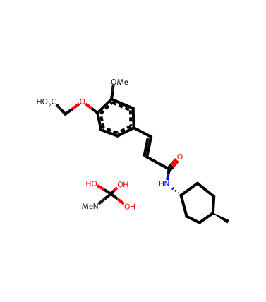 CNC(O)(O)O.COc1cc(/C=C/C(=O)N[C@H]2CC[C@H](C)CC2)ccc1OCC(=O)O